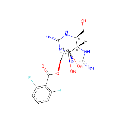 N=C1N[C@H]2[C@H](CO)NC(=N)N3C[C@H](OC(=O)c4c(F)cccc4F)C(O)(O)[C@]23N1